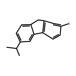 CC(C)c1ccc2c(c1)-c1ccc(I)cc1C2